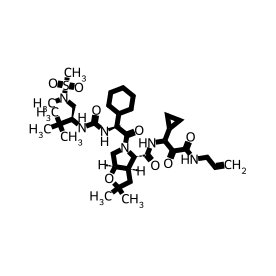 C=CCNC(=O)C(=O)C(NC(=O)[C@@H]1[C@H]2CC(C)(C)O[C@H]2CN1C(=O)[C@@H](NC(=O)N[C@H](CN(C)S(C)(=O)=O)C(C)(C)C)C1CCCCC1)C1CC1